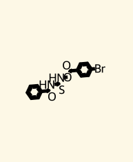 O=C(NC(=S)NOC(=O)c1ccc(Br)cc1)c1ccccc1